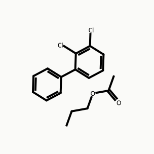 CCCOC(C)=O.Clc1cccc(-c2ccccc2)c1Cl